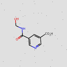 O=C(O)c1cncc(C(=O)NCO)c1